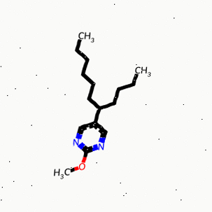 CCCCCCC(CCCC)c1cnc(OC)nc1